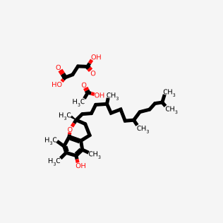 CC(=O)O.Cc1c(C)c2c(c(C)c1O)CC[C@@](C)(CCCC(C)CCCC(C)CCCC(C)C)O2.O=C(O)CCC(=O)O